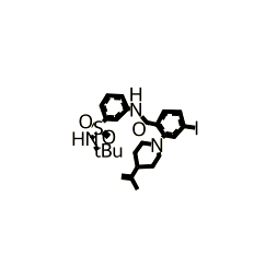 C=C(C)C1CCN(c2cc(I)ccc2C(=O)Nc2cccc(S(=O)(=O)NC(C)(C)C)c2)CC1